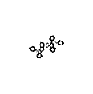 C[Si](C)(c1cccc2c1Cc1c-2n(-c2ccccc2)c2ccccc12)C1c2ccccc2-c2c1c1ccccc1n2-c1ccccc1